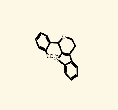 O=C(O)c1ccccc1C1OCCc2c1sc1ccccc21